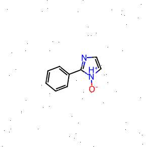 [O-][NH+]1C=CN=C1c1ccccc1